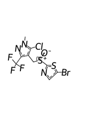 Cn1nc(C(F)(F)F)c(C[S@@+]([O-])c2ncc(Br)s2)c1Cl